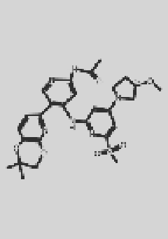 CO[C@@H]1CCN(c2cc(Nc3cc(NC(C)=O)ncc3-c3ccc4c(n3)OCC(C)(C)O4)nc(S(C)(=O)=O)c2)C1